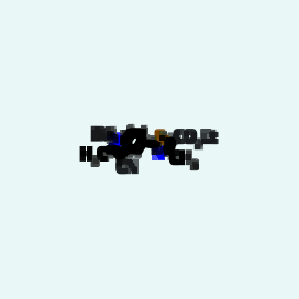 CCOC(=O)c1sc(-c2ccc3c(c2)c(C#N)c(C)n3C(C)CC)nc1C